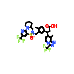 Cc1ccc(C(CC(=O)O)c2ccn3c(C(F)(F)F)nnc3c2C)cc1CN1CC2CCCCN2c2ncc(C(F)(F)F)cc2[S+]1[O-]